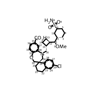 CO[C@H]([C@H]1CCC[C@H](S(N)(=O)=O)C1)[C@@H]1CC[C@H]1CN1C[C@@]2(CCCc3cc(Cl)ccc32)COc2ccc(C(=O)O)cc21